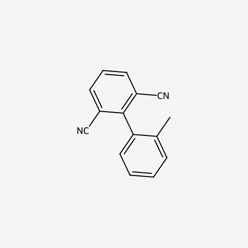 Cc1ccccc1-c1c(C#N)cccc1C#N